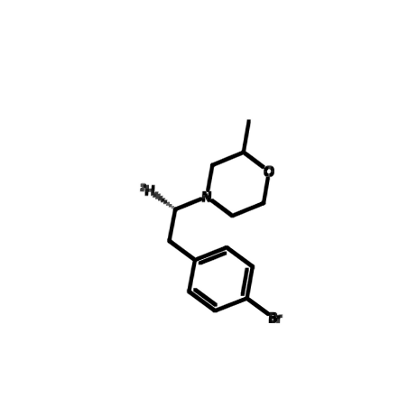 [2H][C@@H](Cc1ccc(Br)cc1)N1CCOC(C)C1